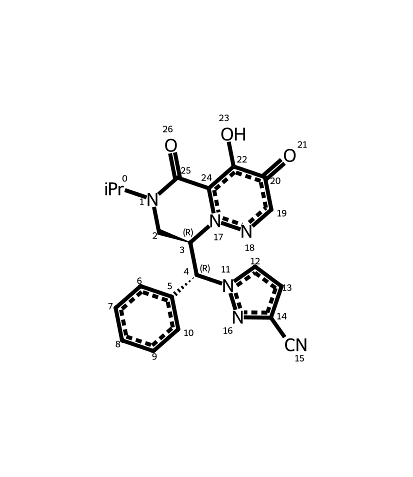 CC(C)N1C[C@H]([C@@H](c2ccccc2)n2ccc(C#N)n2)n2ncc(=O)c(O)c2C1=O